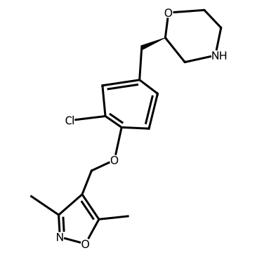 Cc1noc(C)c1COc1ccc(C[C@@H]2CNCCO2)cc1Cl